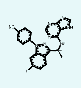 C[C@H](Nc1ncnc2nc[nH]c12)c1nn(-c2ccc(C#N)cc2)c2cc(F)ccc12